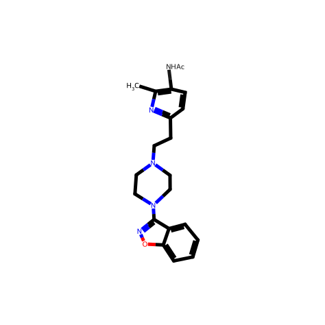 CC(=O)Nc1ccc(CCN2CCN(c3noc4ccccc34)CC2)nc1C